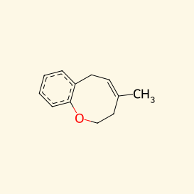 C/C1=C/Cc2ccccc2OCC1